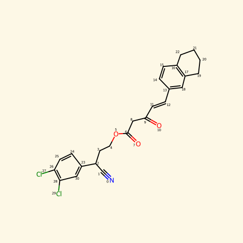 N#CC(CCOC(=O)CC(=O)C=Cc1ccc2c(c1)CCCC2)c1ccc(Cl)c(Cl)c1